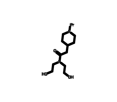 CC(C)N1CCC(CC(=O)N(CCO)CCO)CC1